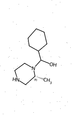 C[C@@H]1CNCCN1C(O)C1CCCCC1